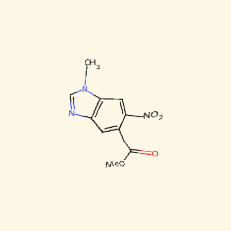 COC(=O)c1cc2ncn(C)c2cc1[N+](=O)[O-]